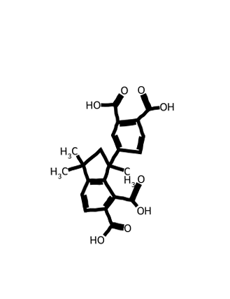 CC1(C)CC(C)(c2ccc(C(=O)O)c(C(=O)O)c2)c2c1ccc(C(=O)O)c2C(=O)O